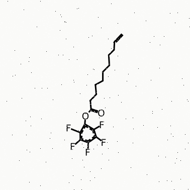 C=CCCCCCCCCC(=O)Oc1c(F)c(F)c(F)c(F)c1F